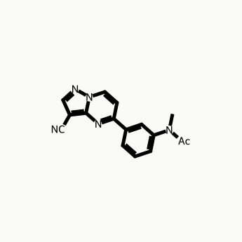 CC(=O)N(C)c1cccc(-c2ccn3ncc(C#N)c3n2)c1